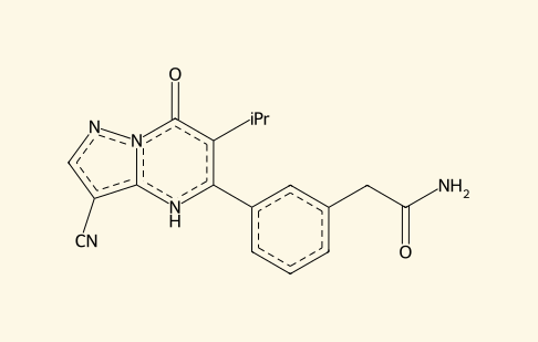 CC(C)c1c(-c2cccc(CC(N)=O)c2)[nH]c2c(C#N)cnn2c1=O